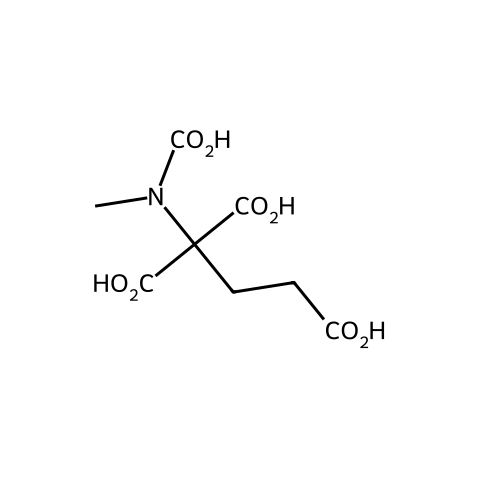 CN(C(=O)O)C(CCC(=O)O)(C(=O)O)C(=O)O